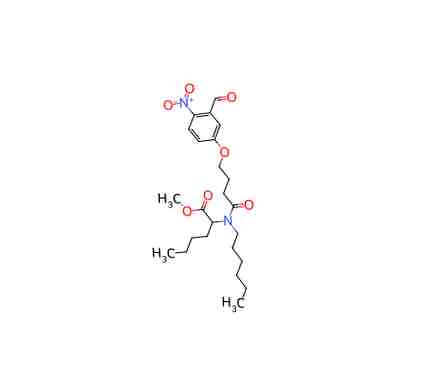 CCCCCCN(C(=O)CCCOc1ccc([N+](=O)[O-])c(C=O)c1)C(CCCC)C(=O)OC